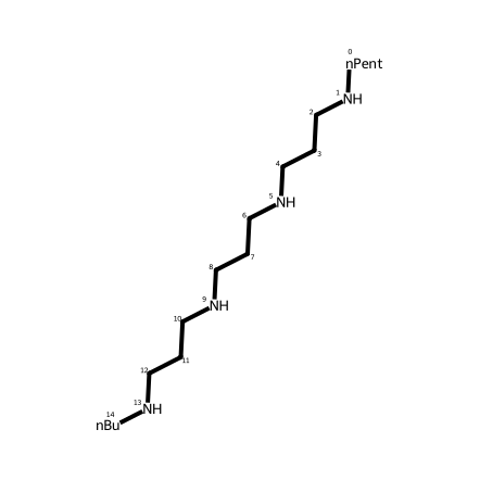 CCCCCNCCCNCCCNCCCNCCCC